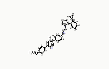 N=C(/N=C\Nc1ccc(OC(F)(F)F)cc1)c1ccc(/C=N/N=C2\SCCN2c2ccccc2C2CC2)cc1